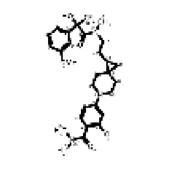 COc1cccc(C(O)(C(=O)N(C)CCC2CC23CCN(c2ccc(C(=O)N(C)C)c(Cl)c2)CC3)C(F)(F)F)c1